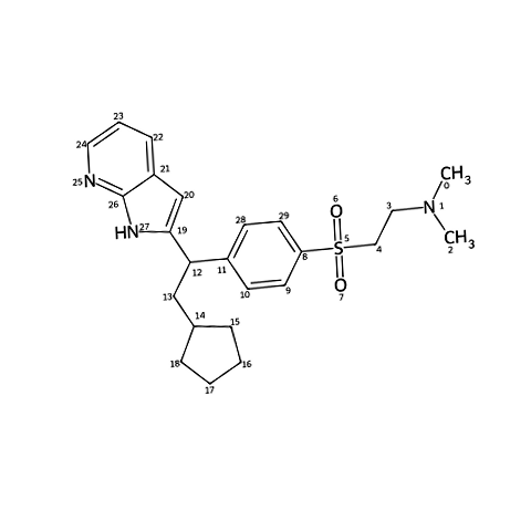 CN(C)CCS(=O)(=O)c1ccc(C(CC2CCCC2)c2cc3cccnc3[nH]2)cc1